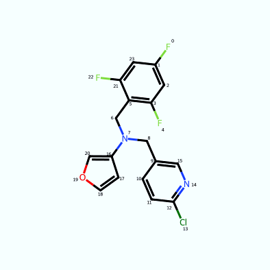 Fc1cc(F)c(CN(Cc2ccc(Cl)nc2)c2ccoc2)c(F)c1